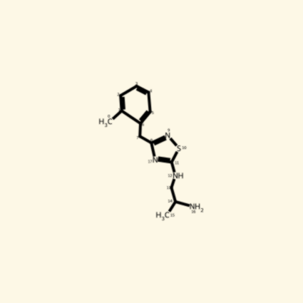 Cc1ccccc1Cc1nsc(NCC(C)N)n1